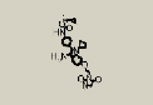 C[C@@H](OC(=O)Nc1ccc(-c2c(N)c3ccc(OCCN4C(=O)CN(C)C4=O)cc3n2C2CCC2)cc1)C1CC1